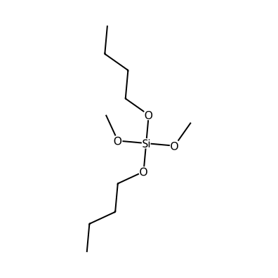 CCCCO[Si](OC)(OC)OCCCC